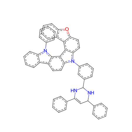 C1=C(c2ccccc2)NC(c2cccc(-n3c4ccc5oc6ccccc6c5c4c4c3ccc3c5ccccc5n(-c5ccccc5)c34)c2)NC1c1ccccc1